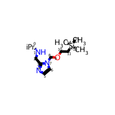 CC(C)NCc1nccn1COCC[Si](C)(C)C